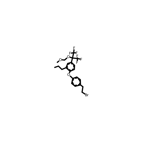 CCCc1cc(C(OCOC)(C(F)(F)F)C(F)(F)F)ccc1Oc1ccc(CCBr)cc1